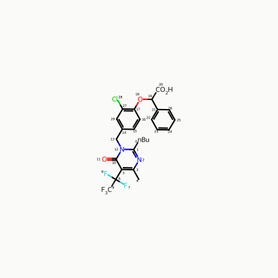 CCCCc1nc(C)c(C(F)(F)C(F)(F)F)c(=O)n1Cc1ccc(OC(C(=O)O)c2ccccc2)c(Cl)c1